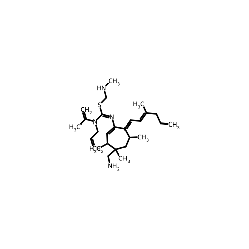 C=CCN(C(=C)C)/C(=N\C1=CC(C)C(C)(CN)CC(C)/C1=C\C=C(/C)CCC)SCNC